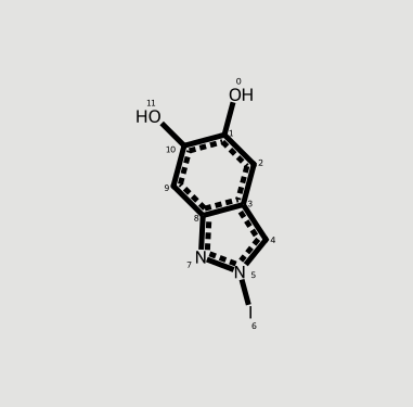 Oc1cc2cn(I)nc2cc1O